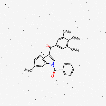 COc1ccc2c(C(=O)c3cc(OC)c(OC)c(OC)c3)cn(C(=O)c3ccccc3)c2c1